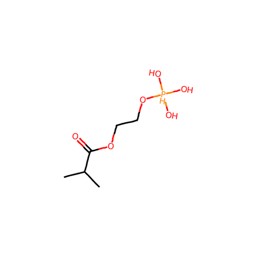 CC(C)C(=O)OCCO[PH](O)(O)O